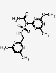 COc1nc(C)nc(N(C(N)=O)S(=O)(=O)NCc2nc(C)cc(C)n2)n1